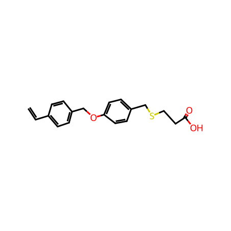 C=Cc1ccc(COc2ccc(CSCCC(=O)O)cc2)cc1